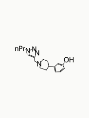 CCCn1cc(CN2CCC(c3cccc(O)c3)CC2)nn1